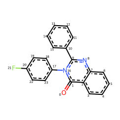 O=c1c2ccccc2nc(-c2ccccc2)n1-c1ccc(F)cc1